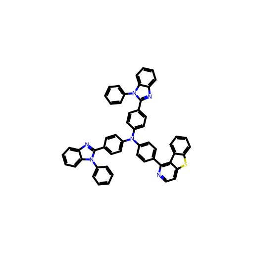 c1ccc(-n2c(-c3ccc(N(c4ccc(-c5nccc6sc7ccccc7c56)cc4)c4ccc(-c5nc6ccccc6n5-c5ccccc5)cc4)cc3)nc3ccccc32)cc1